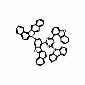 C1=Cc2c(oc3cccc(-c4nc(-c5cc(-n6c7cc8ccccc8cc7c7c8ccccc8ccc76)cc6oc7c8ccccc8ccc7c56)nc(-n5c6ccccc6c6ccccc65)n4)c23)CC1